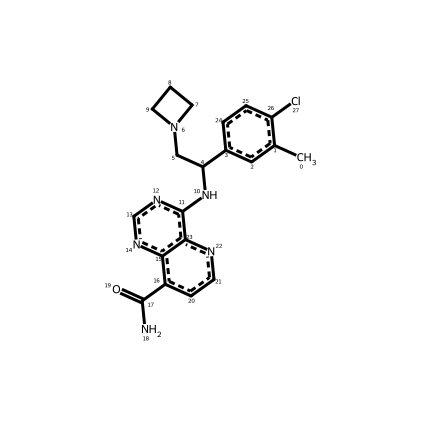 Cc1cc(C(CN2CCC2)Nc2ncnc3c(C(N)=O)ccnc23)ccc1Cl